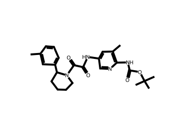 Cc1cccc(C2CCCCN2C(=O)C(=O)Nc2cnc(NC(=O)OC(C)(C)C)c(C)c2)c1